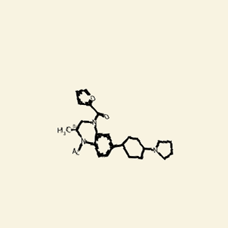 CC(=O)N1c2ccc(C3CCC(N4CCCC4)CC3)cc2N(C(=O)c2ccco2)C[C@@H]1C